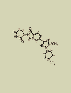 CN1N=C(c2ccc3c(c2)CN(C2CCC(=O)NC2=O)C3=O)NC1N1CCC(C(F)(F)F)CC1